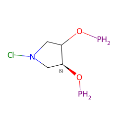 POC1CN(Cl)C[C@@H]1OP